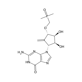 C=C1[C@@H](n2cnc3c(=O)[nH]c(N)nc32)[C@H](O)[C@H](O)[C@H]1OCP(C)(C)=O